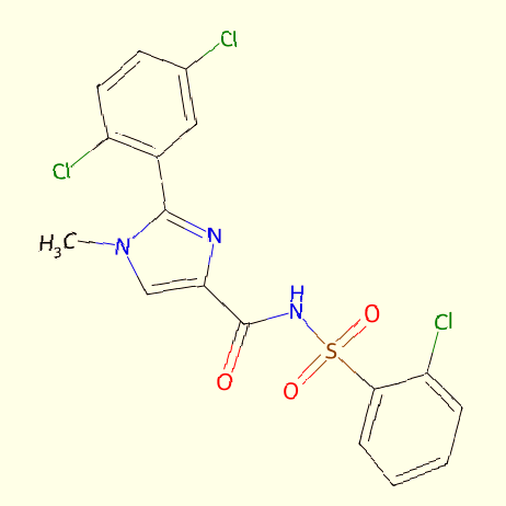 Cn1cc(C(=O)NS(=O)(=O)c2ccccc2Cl)nc1-c1cc(Cl)ccc1Cl